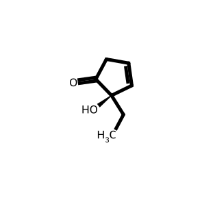 CC[C@@]1(O)C=CCC1=O